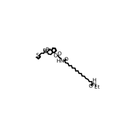 CCCN(CCc1cccs1)[C@@H]1CCc2c(cccc2OC(=O)CCNC(=O)CCCCCCCCCCCCCCCCC(=O)NCC)C1